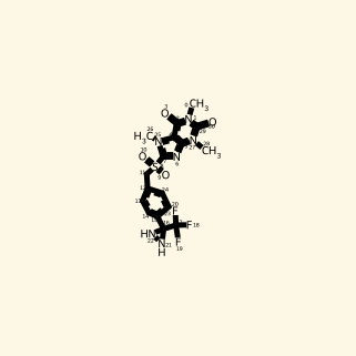 Cn1c(=O)c2c(nc(S(=O)(=O)Cc3ccc(C4(C(F)(F)F)NN4)cc3)n2C)n(C)c1=O